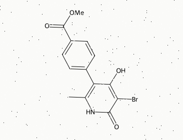 COC(=O)c1ccc(-c2c(C)[nH]c(=O)c(Br)c2O)cc1